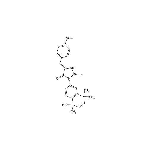 COc1ccc(C=C2NC(=O)N(c3ccc4c(c3)C(C)(C)CCC4(C)C)C2=O)cc1